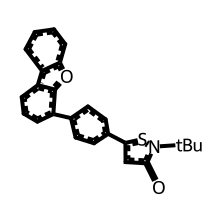 CC(C)(C)n1sc(-c2ccc(-c3cccc4c3oc3ccccc34)cc2)cc1=O